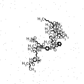 CCCCCCC(C)(C)[C@@H](C(=O)N[C@H](C(=O)N(C)[C@@H]([C@@H](C)CC)[C@@H](CC(=O)N1CCC[C@H]1[C@H](OC)[C@@H](C)C(=O)N[C@@H](Cc1ccccc1)C(=O)NCc1ccc(NC(=O)[C@H](CCCNC(N)=O)NC(=O)[C@@H](NC(=O)CCCN2CC[C@H](C(=O)NC(C)CCC)C[C@@H]2C(F)(F)F)C(C)C)cc1)OC)C(C)C)N(C)C